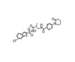 CC(CNC(=O)c1ccc(N2CCCCC2=O)cc1)C(=O)NS(=O)(=O)c1cc2ccc(Cl)cc2s1